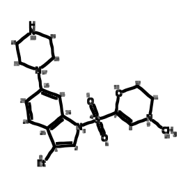 CCc1cn(S(=O)(=O)C2=CN(C)CCO2)c2cc(N3CCNCC3)ccc12